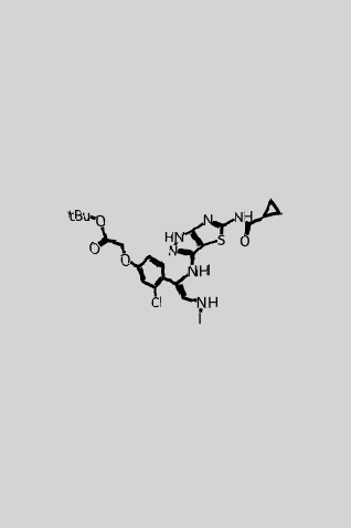 CC(C)(C)OC(=O)COc1ccc(/C(=C/NI)Nc2n[nH]c3nc(NC(=O)C4CC4)sc23)c(Cl)c1